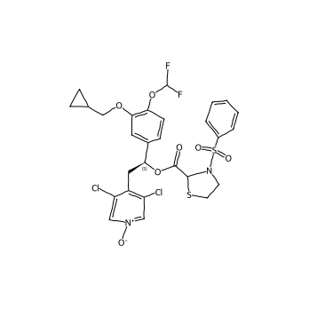 O=C(O[C@@H](Cc1c(Cl)c[n+]([O-])cc1Cl)c1ccc(OC(F)F)c(OCC2CC2)c1)C1SCCN1S(=O)(=O)c1ccccc1